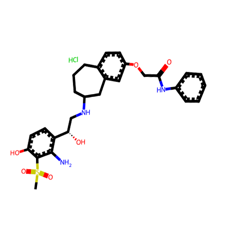 CS(=O)(=O)c1c(O)ccc([C@@H](O)CNC2CCCc3ccc(OCC(=O)Nc4ccccc4)cc3C2)c1N.Cl